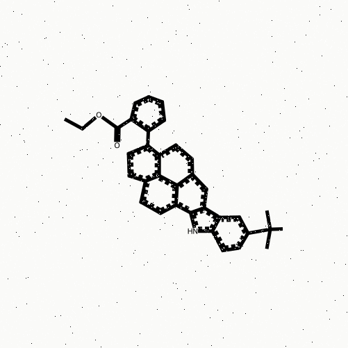 CCOC(=O)c1ccccc1-c1ccc2ccc3c4[nH]c5ccc(C(C)(C)C)cc5c4cc4ccc1c2c43